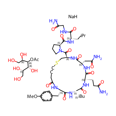 CC(=O)O[C@@H]([C@H](O)[C@@H](O)CO)[C@H](O)CO.CC[C@H](C)[C@@H]1NC(=O)[C@H](Cc2ccc(OC)cc2)NC(=O)CCCSC[C@@H](C(=O)N2CCC[C@H]2C(=O)N[C@@H](CC(C)C)C(=O)NCC(N)=O)NC(=O)[C@H](CC(N)=O)NC(=O)[C@H](CCC(N)=O)NC1=O.[NaH]